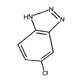 Clc1ccc2[nH]nnc2c1